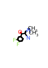 CN(C)C=C(C#N)C(=O)c1ccc(F)c(F)c1